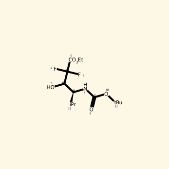 CCOC(=O)C(F)(F)C(O)[C@@H](NC(=O)OC(C)(C)C)C(C)C